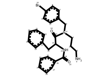 NCCCN(Cc1ccc(Br)cc1)C(=O)C(Cc1ccccc1)NC(=O)c1ccccc1